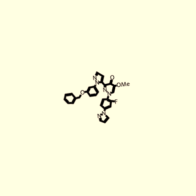 COc1cn(-c2ccc(-n3cccn3)cc2F)nc(-c2ccnn2-c2cccc(OCc3ccccc3)c2)c1=O